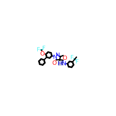 CCC1(C(=O)Nc2cccc(C(C)(F)F)c2)C(=O)N(c2ccc(OC(F)F)c(-c3ccccc3)c2)N=C1C